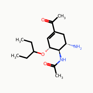 CCC(CC)O[C@@H]1C=C(C(C)=O)C[C@H](N)[C@H]1NC(C)=O